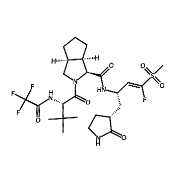 CC(C)(C)[C@H](NC(=O)C(F)(F)F)C(=O)N1C[C@H]2CCC[C@H]2[C@H]1C(=O)N[C@H](/C=C(\F)S(C)(=O)=O)C[C@H]1CCNC1=O